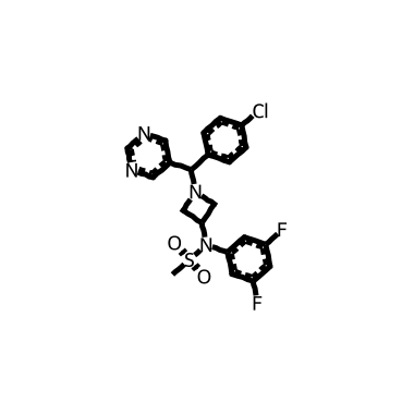 CS(=O)(=O)N(c1cc(F)cc(F)c1)C1CN(C(c2ccc(Cl)cc2)c2cncnc2)C1